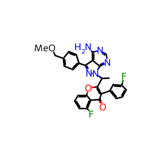 COCc1ccc(-c2nn(C(C)c3oc4cccc(F)c4c(=O)c3-c3cccc(F)c3)c3ncnc(N)c23)cc1